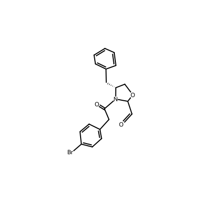 O=CC1OC[C@@H](Cc2ccccc2)N1C(=O)Cc1ccc(Br)cc1